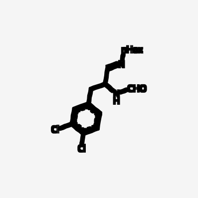 CCCCCCN=CC(Cc1ccc(Cl)c(Cl)c1)NC=O